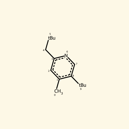 Cc1cc(CC(C)(C)C)ncc1C(C)(C)C